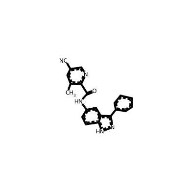 Cc1cc(C#N)cnc1C(=O)Nc1ccc2[nH]nc(-c3ccccc3)c2c1